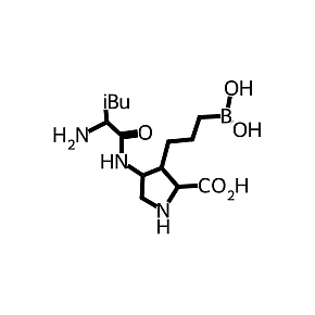 CCC(C)C(N)C(=O)NC1CNC(C(=O)O)C1CCCB(O)O